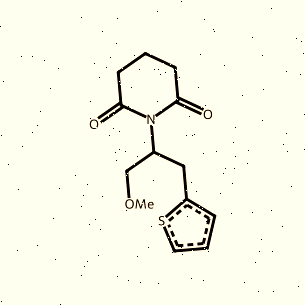 COCC(Cc1cccs1)N1C(=O)CCCC1=O